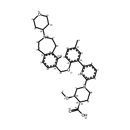 CO[C@H]1CN(c2cccc(-c3cc(C)ccc3OCc3ccc4c(c3C)CCN(C3CCOCC3)CC4)n2)CC[C@H]1C(=O)O